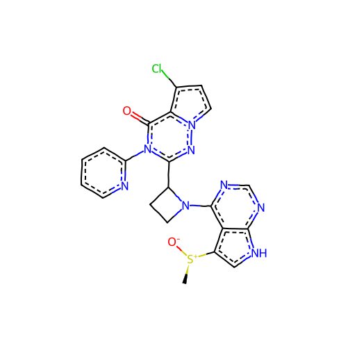 C[S@@+]([O-])c1c[nH]c2ncnc(N3CCC3c3nn4ccc(Cl)c4c(=O)n3-c3ccccn3)c12